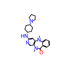 CN1C(=O)c2ccccc2N(C)c2cc(N[C@H]3CC[C@H](N4CCCC4)CC3)ncc21